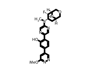 COc1cc(-c2ccc(-c3cnc(N(C)[C@H]4C[C@@H]5COC[C@@H](N5)[C@H]4F)cn3)c(O)c2)cnn1